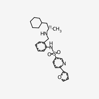 C[C@@H](CC1CCCCC1)NCc1ccccc1NS(=O)(=O)c1ccc(-c2ccco2)nc1